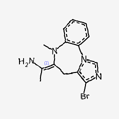 C/C(N)=C1\Cc2c(Br)ncn2-c2ccccc2N1C